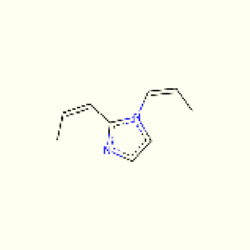 C/C=C\c1nccn1/C=C\C